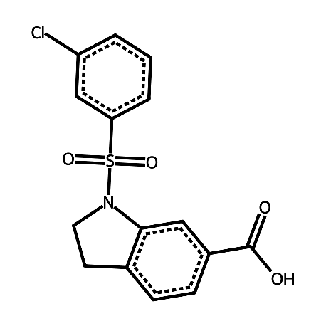 O=C(O)c1ccc2c(c1)N(S(=O)(=O)c1cccc(Cl)c1)CC2